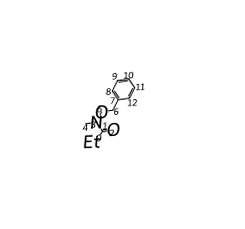 CCC(=O)N(C)OCc1ccccc1